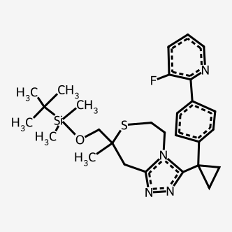 CC1(CO[Si](C)(C)C(C)(C)C)Cc2nnc(C3(c4ccc(-c5ncccc5F)cc4)CC3)n2CCS1